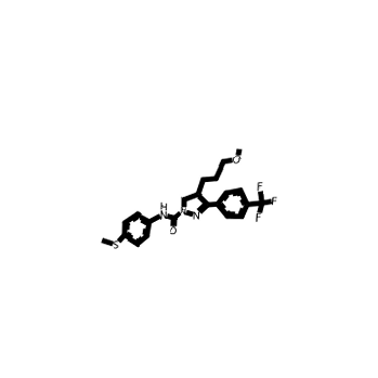 COCCCC1CN(C(=O)Nc2ccc(SC)cc2)N=C1c1ccc(C(F)(F)F)cc1